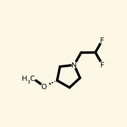 CO[C@H]1CCN(CC(F)F)C1